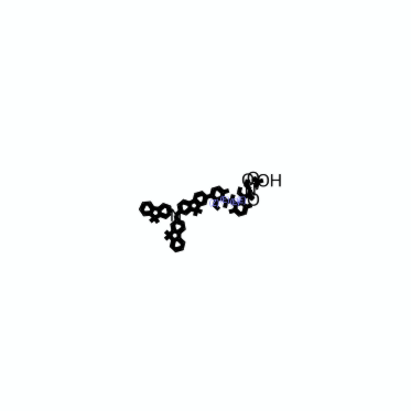 C/C=c1/c(-c2ccc3c(c2)C(C)(C)c2cc(N(c4ccc5c(c4)C(C)(C)c4ccccc4-5)c4ccc5c(c4)C(C)(C)c4ccccc4-5)ccc2-3)ccc(C)/c1=C(C)\C(C)=c1/c(C)ccc(C)/c1=C(/CC)C(=O)N(C=O)CC(=O)O